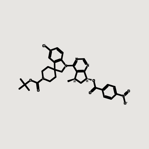 C[C@@H]1C[C@@H](OC(=O)c2ccc([N+](=O)[O-])cc2)c2ncnc(N3CC4(CCN(C(=O)OC(C)(C)C)CC4)c4cc(Cl)ccc43)c21